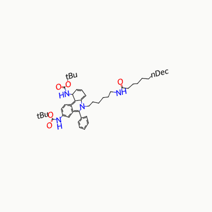 CCCCCCCCCCCCCCCC(=O)NCCCCCCN1C2=CC=CC(NC(=O)OC(C)(C)C)C2=c2ccc(NC(=O)OC(C)(C)C)cc2=C1c1ccccc1